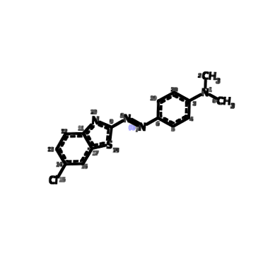 CN(C)c1ccc(/N=N/c2nc3ccc(Cl)cc3s2)cc1